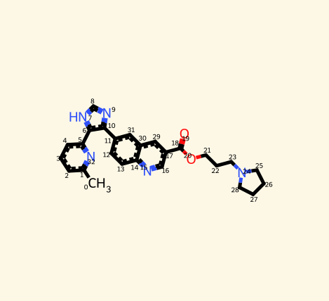 Cc1cccc(-c2[nH]cnc2-c2ccc3ncc(C(=O)OCCCN4CCCC4)cc3c2)n1